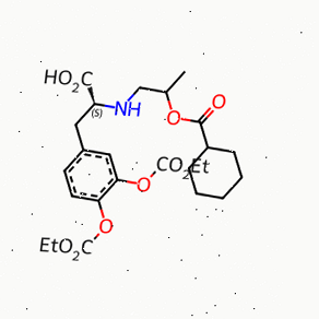 CCOC(=O)Oc1ccc(C[C@H](NCC(C)OC(=O)C2CCCCC2)C(=O)O)cc1OC(=O)OCC